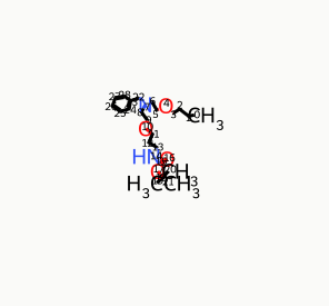 CCCCOCCN(CCOCCCNC(=O)OC(C)(C)C)Cc1ccccc1